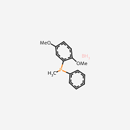 B.COc1ccc(OC)c(P(C)c2ccccc2)c1